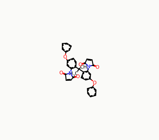 CC(C)(c1ccc(Oc2ccccc2)cc1N1C(=O)C=CC1=O)c1ccc(Oc2ccccc2)cc1N1C(=O)C=CC1=O